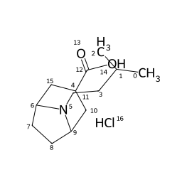 CC(C)CCN1C2CCC1CC(C(=O)O)C2.Cl